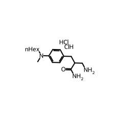 CCCCCCN(C)c1ccc(CC(CN)C(N)=O)cc1.Cl.Cl